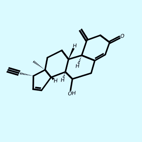 C#C[C@H]1C=C[C@H]2[C@@H]3C(O)CC4=CC(=O)CC(=C)[C@@H]4[C@H]3CC[C@]12C